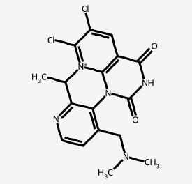 CC1c2nccc(CN(C)C)c2-n2c(=O)[nH]c(=O)c3cc(Cl)c(Cl)[n+]1c32